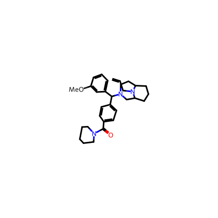 C=CCN1C2CCCC1CN(C(c1ccc(C(=O)N3CCCCC3)cc1)c1cccc(OC)c1)CC2